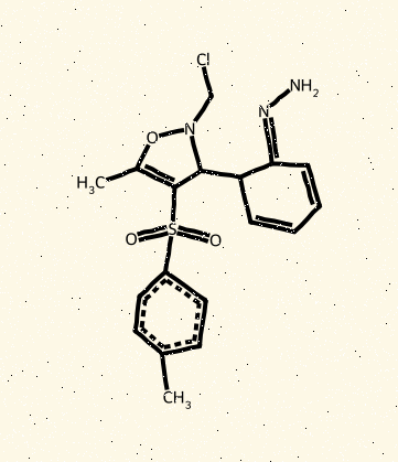 CC1=C(S(=O)(=O)c2ccc(C)cc2)C(C2C=CC=CC2=NN)N(CCl)O1